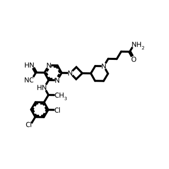 CC(Nc1nc(N2CC(C3CCCN(CCCC(N)=O)C3)C2)cnc1C(=N)C#N)c1ccc(Cl)cc1Cl